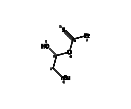 CCCCCC(O)OC(=S)CC